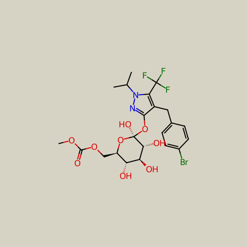 COC(=O)OC[C@H]1O[C@@](O)(Oc2nn(C(C)C)c(C(F)(F)F)c2Cc2ccc(Br)cc2)[C@H](O)[C@@H](O)[C@@H]1O